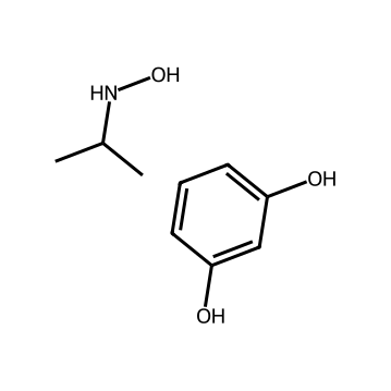 CC(C)NO.Oc1cccc(O)c1